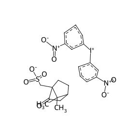 CC1(C)C2CCC1(CS(=O)(=O)[O-])C(=O)C2.O=[N+]([O-])c1cccc([I+]c2cccc([N+](=O)[O-])c2)c1